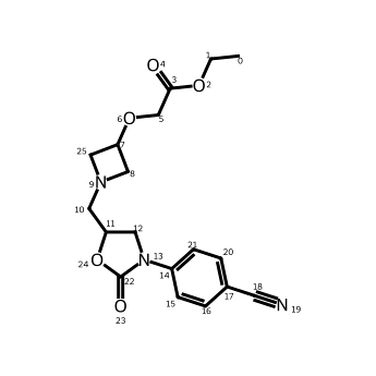 CCOC(=O)COC1CN(CC2CN(c3ccc(C#N)cc3)C(=O)O2)C1